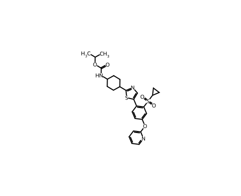 CC(C)OC(=O)NC1CCC(c2ncc(-c3ccc(Oc4ccccn4)cc3S(=O)(=O)C3CC3)s2)CC1